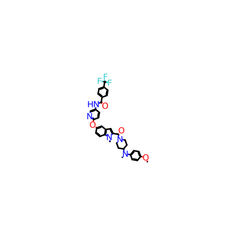 COc1ccc(N(C)C2CCN(C(=O)c3cc4cc(Oc5ccc(NC(=O)c6ccc(C(F)(F)F)cc6)cn5)ccc4n3C)CC2)cc1